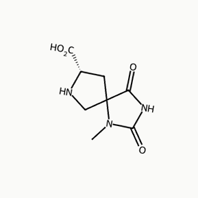 CN1C(=O)NC(=O)C12CN[C@H](C(=O)O)C2